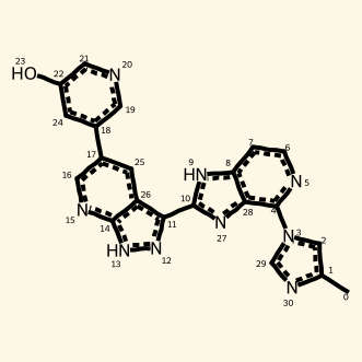 Cc1cn(-c2nccc3[nH]c(-c4n[nH]c5ncc(-c6cncc(O)c6)cc45)nc23)cn1